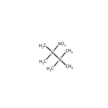 C[Si](C)(C)[Si](C)(C)[N+](=O)[O-]